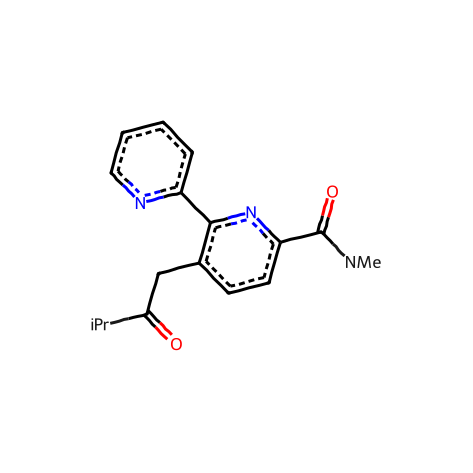 CNC(=O)c1ccc(CC(=O)C(C)C)c(-c2ccccn2)n1